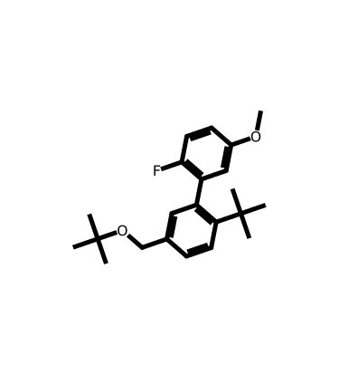 COc1ccc(F)c(-c2cc(COC(C)(C)C)ccc2C(C)(C)C)c1